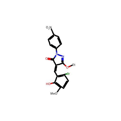 CCOC1=NN(c2ccc([N+](=O)[O-])cc2)C(=O)/C1=C/c1c(Br)ccc(OC)c1O